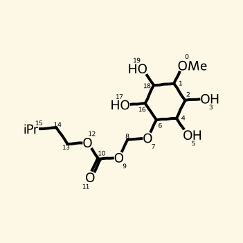 COC1C(O)C(O)C(OCOC(=O)OCCC(C)C)C(O)C1O